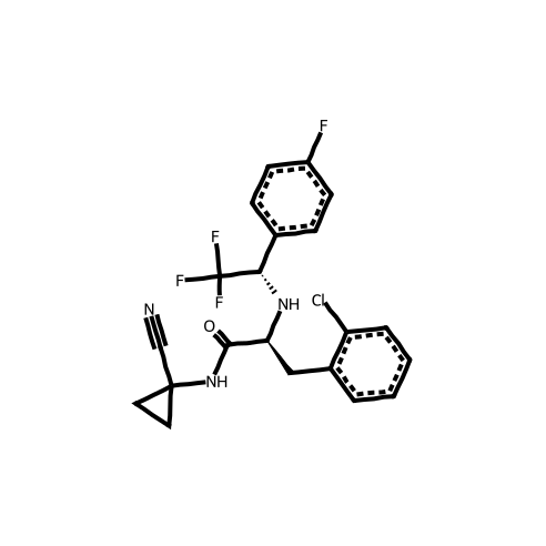 N#CC1(NC(=O)[C@H](Cc2ccccc2Cl)N[C@@H](c2ccc(F)cc2)C(F)(F)F)CC1